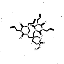 C=CCN1CN(CC2(Cn3c(=O)n(CC=C)c(=O)n(CC=C)c3=O)COP(=O)(OC(C)(C)C)OC2)C(=O)N(CC=C)C1=O